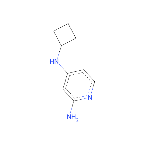 Nc1cc(NC2CCC2)ccn1